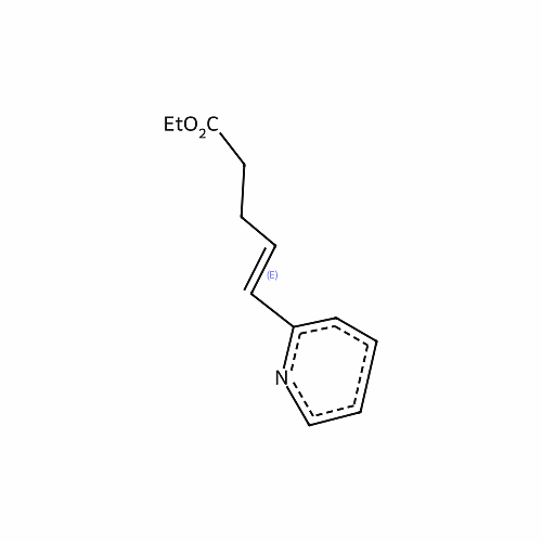 CCOC(=O)CC/C=C/c1ccccn1